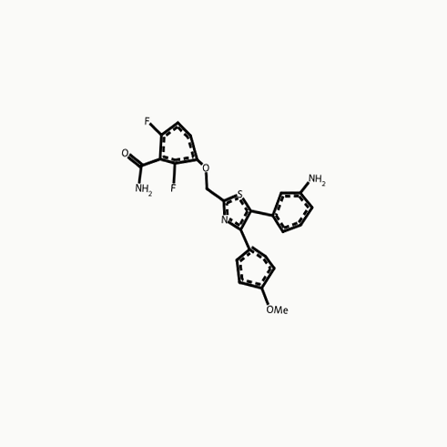 COc1ccc(-c2nc(COc3ccc(F)c(C(N)=O)c3F)sc2-c2cccc(N)c2)cc1